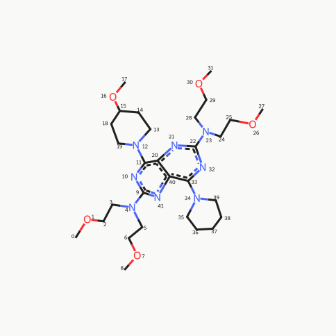 COCCN(CCOC)c1nc(N2CCC(OC)CC2)c2nc(N(CCOC)CCOC)nc(N3CCCCC3)c2n1